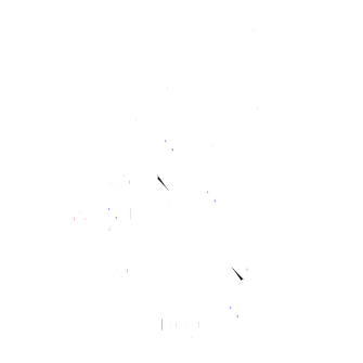 CN1C[C@@H](C2CCCN2C(=O)O)C[C@H](C(=O)NO)[C@H]1C(=O)N1CC=C(c2ccccc2)C1